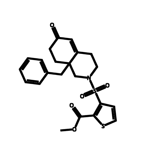 COC(=O)c1sccc1S(=O)(=O)N1CCC2=CC(=O)CCC2(Cc2ccccc2)C1